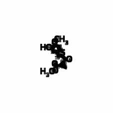 COC(=O)[C@@H]1C[C@H]1C(=O)c1cc2cc(O)c(OC)cc2s1